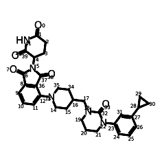 O=C1CCC(N2C(=O)c3cccc(N4CCC(CN5CCCN(c6cccc(C7CC7)c6)C5=O)CC4)c3C2=O)C(=O)N1